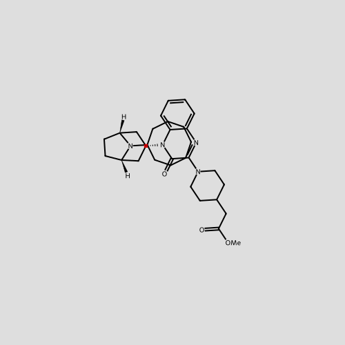 COC(=O)CC1CCN(c2nc3ccccc3n([C@H]3C[C@H]4CC[C@@H](C3)N4C3CCCCCCC3)c2=O)CC1